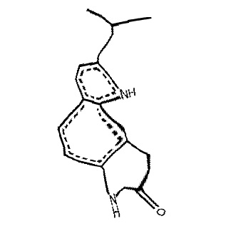 CC(C)c1cc2ccc3c(c2[nH]1)CC(=O)N3